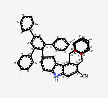 N#Cc1cc2[nH]c3ccc(-c4c(-c5ccccc5)cc(-c5ccccc5)cc4-c4ccccc4)cc3c2c2c1C1c3ccccc3C2c2ccccc21